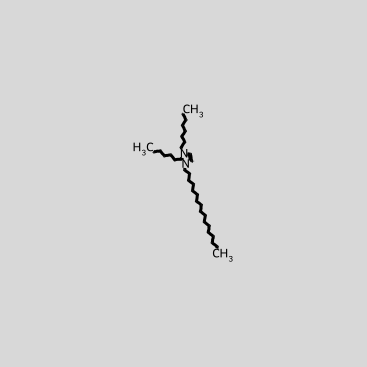 CCCCCCCCCCCCCCCCC[n+]1ccn(CCCCCCCC)c1CCCCCC